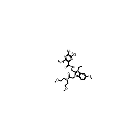 CCn1c(CNC(=O)c2nc(Cl)c(N)nc2N)[n+](CC(=O)N(CCOC)CCOC)c2ccc(OC)cc21